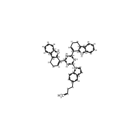 C=CCCc1ccc2c(ccn2-c2nc(C3=CCCc4c3oc3ccccc43)nc(C3=CCCc4c3oc3ccccc43)n2)c1